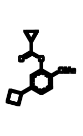 COc1ccc(C2CCC2)cc1OC(=O)C1CC1